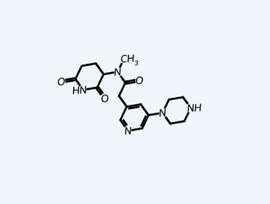 CN(C(=O)Cc1cncc(N2CCNCC2)c1)C1CCC(=O)NC1=O